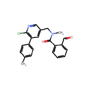 Cc1ccc(-c2cc(CN(C)C(=O)c3ccccc3C=O)cnc2Cl)cc1